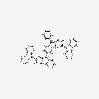 C1=CC2c3ccccc3N(c3ccc4c5ccccc5n(-c5ccc6c(c5)c5cc(-n7c8ccccc8c8ccccc87)ccc5n6-c5ccccc5)c4c3)C2C=C1